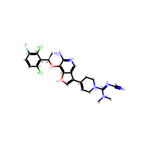 C[C@@H](Oc1c(N)ncc2c(C3=CCN(C(=NC#N)N(C)C)CC3)coc12)c1c(Cl)ccc(F)c1Cl